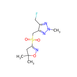 Cn1nc(CF)c(CS(=O)(=O)C2=NOC(C)(C)C2)n1